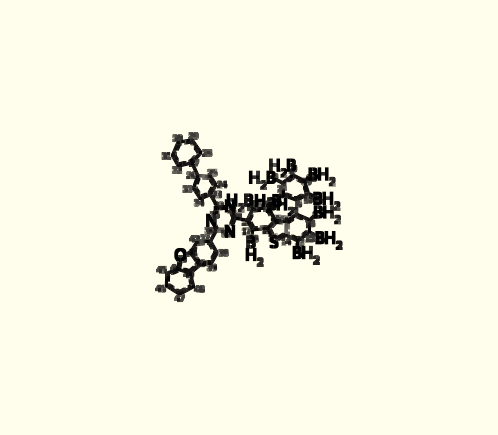 Bc1c(B)c(B)c(-c2c(B)c(B)c(B)c3sc4c(B)c(-c5nc(-c6ccc(-c7ccccc7)cc6)nc(-c6ccc7c(c6)oc6ccccc67)n5)c(B)c(B)c4c23)c(B)c1B